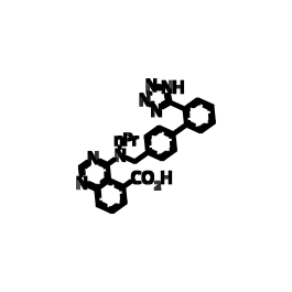 CCCN(Cc1ccc(-c2ccccc2-c2nnn[nH]2)cc1)c1ncnc2cccc(C(=O)O)c12